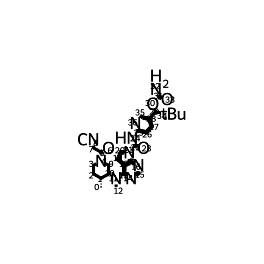 C[C@@H]1CCN(C(=O)CC#N)C[C@@H]1N(C)c1ncnc2c1ccn2C(=O)Nc1ccc(C(OC(N)=O)C(C)(C)C)cn1